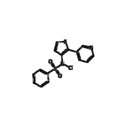 O=S(=O)(c1ccccc1)N(Cl)c1ccsc1-c1cccnc1